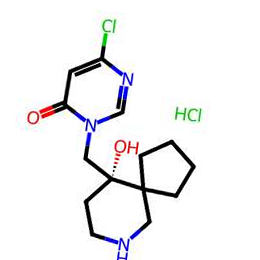 Cl.O=c1cc(Cl)ncn1C[C@]1(O)CCNCC12CCCC2